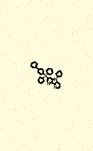 c1ccc(-c2ccc([Si](c3ccccc3)(c3ccccc3)c3cnc4c5ncccc5n(-c5ccccc5)c4c3)cc2)cc1